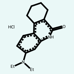 CCN(CC)c1ccc2c3c(c(=O)[nH]c2c1)CCCC3.Cl